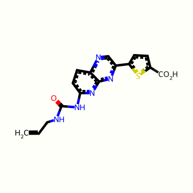 C=CCNC(=O)Nc1ccc2ncc(-c3ccc(C(=O)O)s3)nc2n1